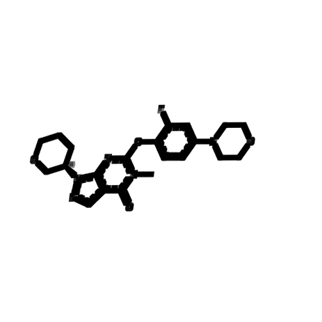 Cn1c(Oc2ccc(N3CCOCC3)cc2F)nc2c(cnn2[C@@H]2CCCOC2)c1=O